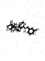 NC(O)[C@@H]1[C@H]2OC[C@@H]1O[C@H]2n1cnc2c(NCc3cccc(I)c3)ncnc21